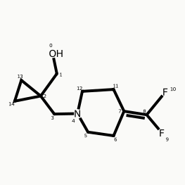 OCC1(CN2CCC(=C(F)F)CC2)CC1